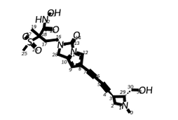 CN1C[C@@H](C#CC#Cc2cc3n(c2)C(=O)N(CCC(C)(C(=O)NO)S(C)(=O)=O)C3)[C@@H]1CO